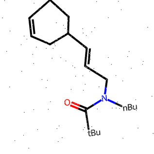 CCCCN(C/C=C/C1CC=CCC1)C(=O)C(C)(C)C